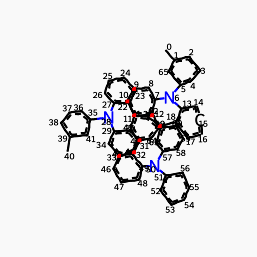 Cc1cccc(N(c2ccccc2)c2ccccc2-c2cc(-c3ccccc3N(c3ccccc3)c3cccc(C)c3)cc(-c3ccccc3N(c3ccccc3)c3cccc(C)c3)c2)c1